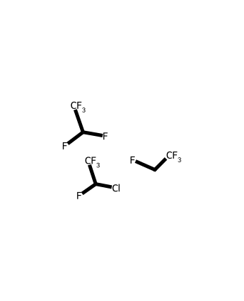 FC(Cl)C(F)(F)F.FC(F)C(F)(F)F.FCC(F)(F)F